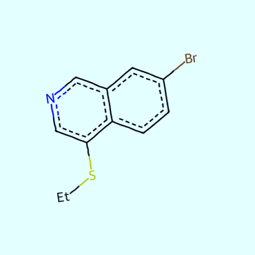 CCSc1cncc2cc(Br)ccc12